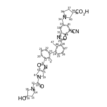 Cc1c(-c2nc3c(o2)CN(C(=O)CN2CCC(O)C2)C3)cccc1-c1cccc(-c2nc3cc(CN4CCC(C(=O)O)C4)cc(C#N)c3o2)c1C